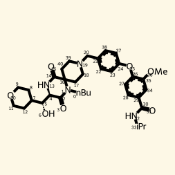 CCCCN1C(=O)[C@@H]([C@H](O)C2CCOCC2)NC(=O)C12CCN(Cc1ccc(Oc3ccc(C(=O)NC(C)C)cc3OC)cc1)CC2